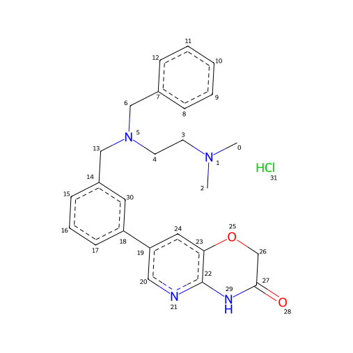 CN(C)CCN(Cc1ccccc1)Cc1cccc(-c2cnc3c(c2)OCC(=O)N3)c1.Cl